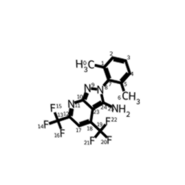 Cc1cccc(C)c1-n1nc2nc(C(F)(F)F)cc(C(F)(F)F)c2c1N